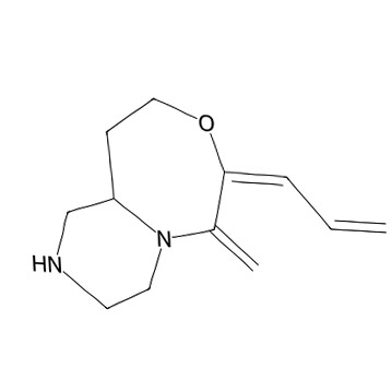 C=C/C=C1/OCCC2CNCCN2C1=C